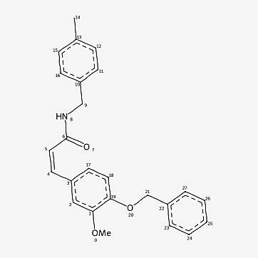 COc1cc(/C=C\C(=O)NCc2ccc(C)cc2)ccc1OCc1ccccc1